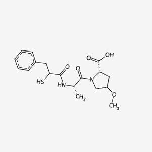 COC1C[C@@H](C(=O)O)N(C(=O)[C@H](C)NC(=O)C(S)Cc2ccccc2)C1